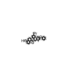 CC(C)c1ccc(N(Cc2ccc(Oc3ccccc3)nc2)C(=O)C2CCCc3c(O)cccc32)cc1